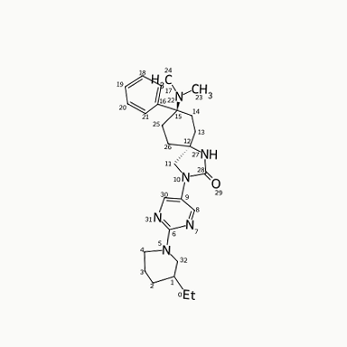 CCC1CCCN(c2ncc(N3C[C@]4(CC[C@](c5ccccc5)(N(C)C)CC4)NC3=O)cn2)C1